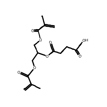 C=C(C)C(=O)OCC(COC(=O)C(=C)C)OC(=O)CCC(=O)O